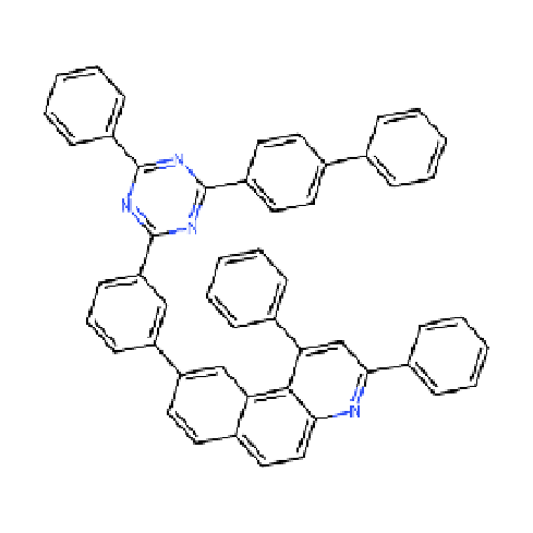 c1ccc(-c2ccc(-c3nc(-c4ccccc4)nc(-c4cccc(-c5ccc6ccc7nc(-c8ccccc8)cc(-c8ccccc8)c7c6c5)c4)n3)cc2)cc1